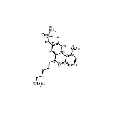 CCOC(=O)CCCCCC1Oc2cccc(OC)c2-c2ccc(CS(N)(=O)=O)cc21